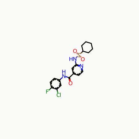 O=C(Nc1ccc(F)c(Cl)c1)c1ccnc(NS(=O)(=O)C2CCCCC2)c1